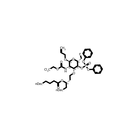 C=CCO[C@H]1O[C@H](CF)[C@@H](OP(=O)(Oc2ccccc2)Oc2ccccc2)[C@H](OCC[C@H](CCCCCCCCCCC)OC(=O)CCCCCCCCCCCCC)[C@@H]1NC(=O)OCC(Cl)(Cl)Cl